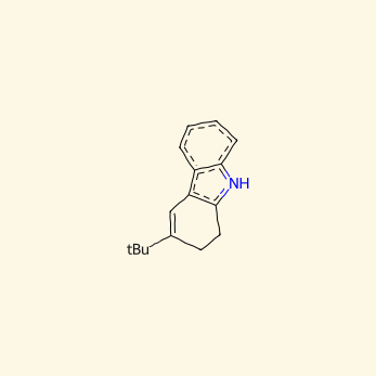 CC(C)(C)C1=Cc2c([nH]c3ccccc23)CC1